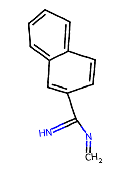 C=NC(=N)c1ccc2ccccc2c1